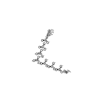 [Ba+2].[Bi+3].[Bi+3].[O]=[Nb](=[O])[O-].[O]=[Nb](=[O])[O-].[O]=[Ti]([O-])[O-].[O]=[Ti]([O-])[O-].[O]=[Ti]([O-])[O-].[O]=[Ti]([O-])[O-].[O]=[Ti]([O-])[O-].[Pb+2].[Pb+2]